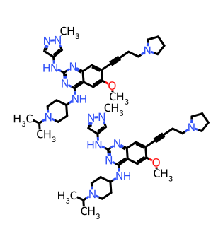 COc1cc2c(NC3CCN(C(C)C)CC3)nc(Nc3cnn(C)c3)nc2cc1C#CCCN1CCCC1.COc1cc2c(NC3CCN(C(C)C)CC3)nc(Nc3cnn(C)c3)nc2cc1C#CCCN1CCCC1